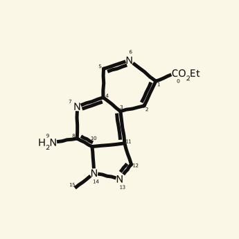 CCOC(=O)c1cc2c(cn1)nc(N)c1c2cnn1C